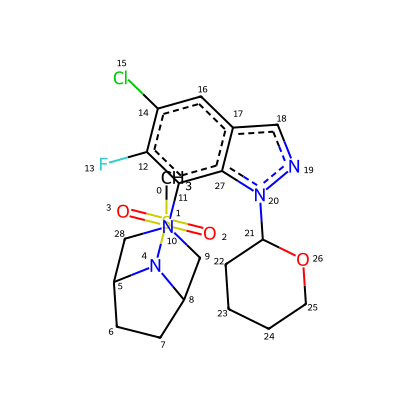 CS(=O)(=O)N1C2CCC1CN(c1c(F)c(Cl)cc3cnn(C4CCCCO4)c13)C2